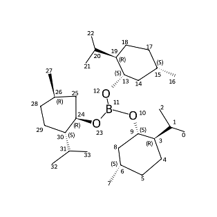 CC(C)[C@H]1CC[C@H](C)C[C@@H]1OB(O[C@H]1C[C@@H](C)CC[C@@H]1C(C)C)O[C@@H]1C[C@H](C)CC[C@H]1C(C)C